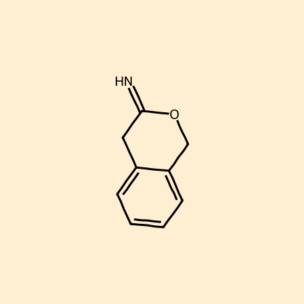 N=C1Cc2ccccc2CO1